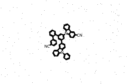 N#Cc1cccc(-c2ccccc2-c2cc(-c3ccc4c(c3)c3ccccc3n4-c3ccccc3)cc(-n3c4ccccc4c4cc(C#N)ccc43)c2)c1